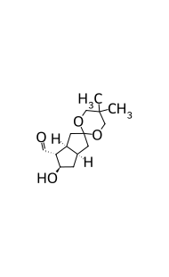 CC1(C)COC2(C[C@H]3C[C@@H](O)[C@H](C=O)[C@H]3C2)OC1